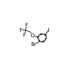 FC(F)(F)COc1cc(I)ccc1Br